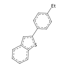 CCc1ccc(-c2cc3ccccc3s2)cc1